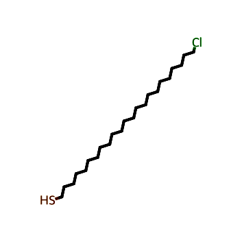 SCCCCCCCCCCCCCCCCCCCCCCCCl